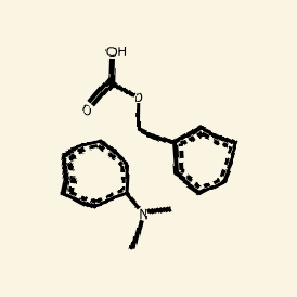 CN(C)c1ccccc1.O=C(O)OCc1ccccc1